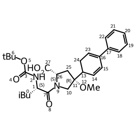 CCC(C)[C@H](NC(=O)OC(C)(C)C)C(=O)N1C[C@](OC)(C2C=CC(c3ccccc3)=CC2)C[C@H]1C(=O)O